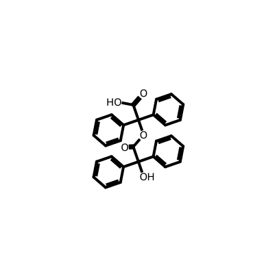 O=C(OC(C(=O)O)(c1ccccc1)c1ccccc1)C(O)(c1ccccc1)c1ccccc1